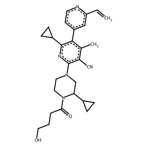 C=Cc1cc(-c2c(C3CC3)nc(N3CCN(C(=O)CCCO)C(C4CC4)C3)c(C#N)c2C)ccn1